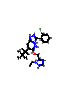 [2H]C([2H])([2H])C(C)(C)c1cc2nnc(-c3ccccc3F)n2nc1OCc1ncnn1CC